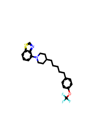 FC(F)(F)Oc1ccc(CCCCCC2CCN(c3cccc4s[c]nc34)CC2)cc1